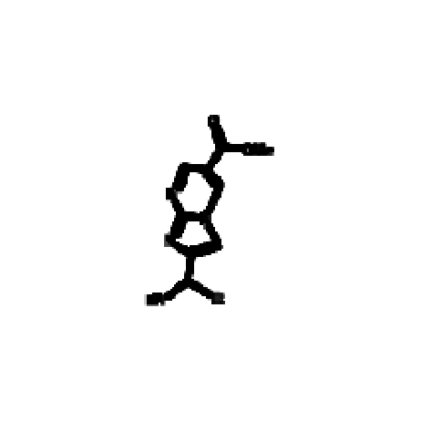 CCCC(CC)c1cn2cc(C(=O)OC)cnc2n1